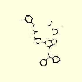 CCNC(=O)[C@H]1O[C@@H](n2cnc3c(NCC(c4ccccc4)c4ccccc4)nc(-n4cnc(NC(=O)NCc5cccc(O)c5)c4)nc32)[C@H](O)[C@@H]1O